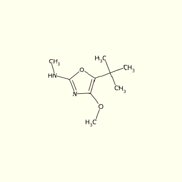 CNc1nc(OC)c(C(C)(C)C)o1